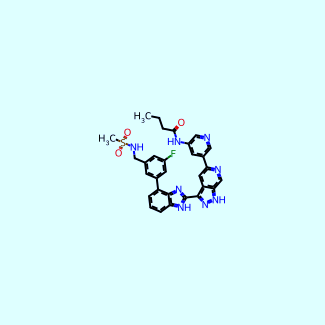 CCCC(=O)Nc1cncc(-c2cc3c(-c4nc5c(-c6cc(F)cc(CNS(C)(=O)=O)c6)cccc5[nH]4)n[nH]c3cn2)c1